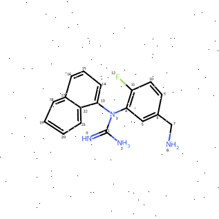 N=C(N)N(c1cc(CN)ccc1F)c1cccc2ccccc12